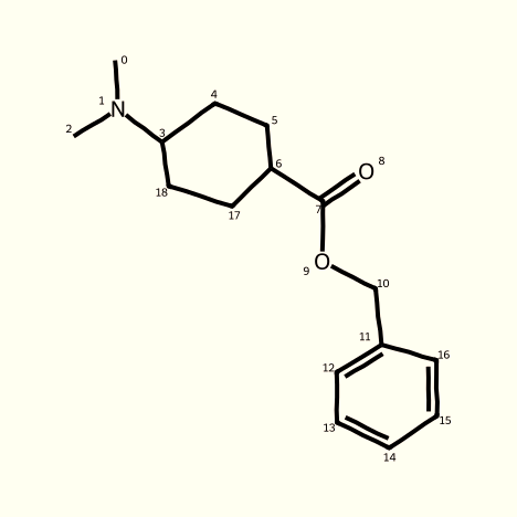 CN(C)C1CCC(C(=O)OCc2ccccc2)CC1